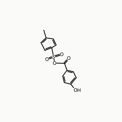 Cc1ccc(S(=O)(=O)OC(=O)c2ccc(O)cc2)cc1